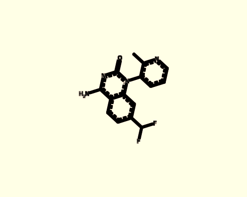 Cc1ncccc1-n1c(=O)nc(N)c2ccc(C(F)F)cc21